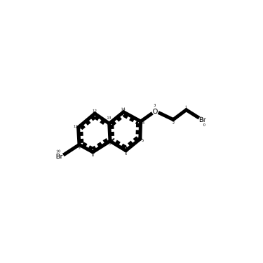 BrCCOc1ccc2cc(Br)ccc2c1